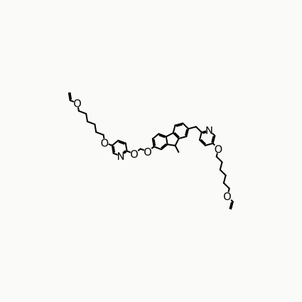 C=COCCCCCCOc1ccc(Cc2ccc3c(c2)C(C)c2cc(OCOc4ccc(OCCCCCCOC=C)cn4)ccc2-3)nc1